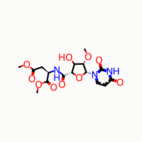 COC(=O)C[C@@H](NC(=O)[C@H]1O[C@@H](n2ccc(=O)[nH]c2=O)[C@@H](OC)C1O)C(=O)OC